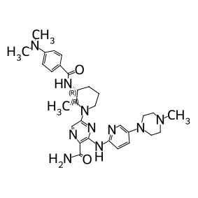 C[C@@H]1[C@H](NC(=O)c2ccc(N(C)C)cc2)CCCN1c1cnc(C(N)=O)c(Nc2ccc(N3CCN(C)CC3)cn2)n1